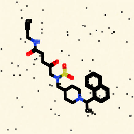 C#CCNC(=O)CCC(=O)CN(CC1CCN(C(C)c2cccc3ccccc23)CC1)[SH](=O)=O